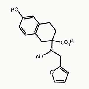 CCCN(Cc1ccco1)C1(C(=O)O)CCc2cc(O)ccc2C1